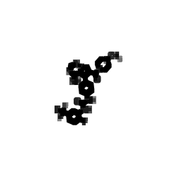 CN1CCN(C(=O)c2cn3ncnc(N)c3c2-c2ccc(NC(=O)Nc3cc(C(F)(F)F)ccc3F)cc2)CC1